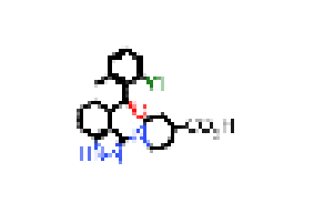 Cc1cccc(Cl)c1C(=O)C1CCCc2[nH]nc(N3CCC(C(=O)O)CC3)c21